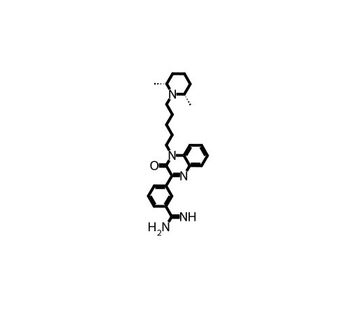 C[C@@H]1CCC[C@H](C)N1CCCCCn1c(=O)c(-c2cccc(C(=N)N)c2)nc2ccccc21